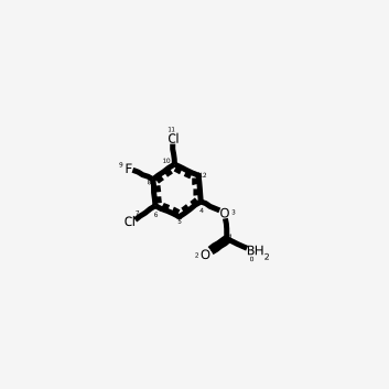 BC(=O)Oc1cc(Cl)c(F)c(Cl)c1